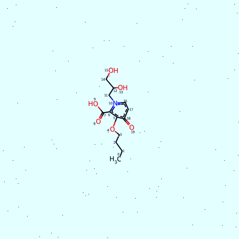 CCCCOc1c(C(=O)O)n(CC(O)CO)ccc1=O